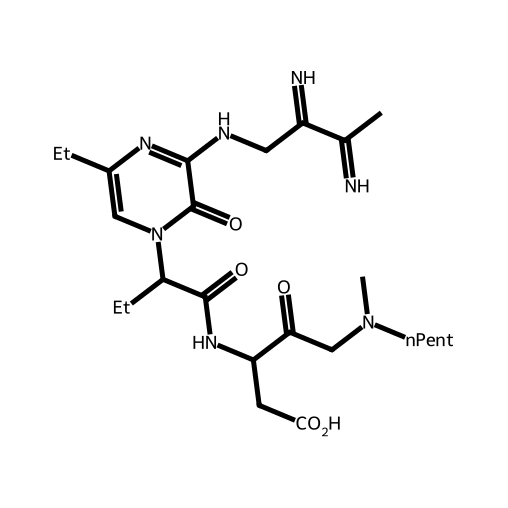 CCCCCN(C)CC(=O)C(CC(=O)O)NC(=O)C(CC)n1cc(CC)nc(NCC(=N)C(C)=N)c1=O